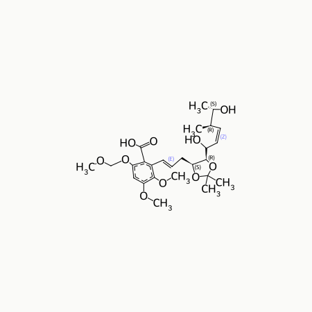 COCOc1cc(OC)c(OC)c(/C=C/C[C@@H]2OC(C)(C)O[C@@H]2C(O)/C=C\[C@@H](C)[C@H](C)O)c1C(=O)O